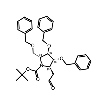 CC(C)(C)OC(=O)N1[C@H](CC=O)[C@@H](OCc2ccccc2)[C@H](OCc2ccccc2)[C@H]1COCc1ccccc1